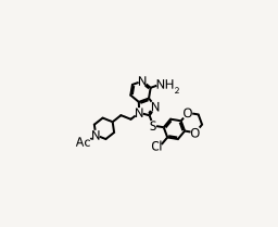 CC(=O)N1CCC(CCn2c(Sc3cc4c(cc3Cl)OCCO4)nc3c(N)nccc32)CC1